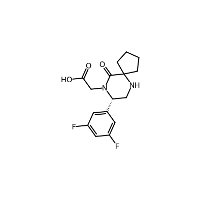 O=C(O)CN1C(=O)C2(CCCC2)NC[C@@H]1c1cc(F)cc(F)c1